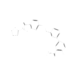 NC(=O)c1cc(-c2cccc(COc3ccc4c(c3)CN(C3CCCC3)C4=O)c2)ccc1Cl